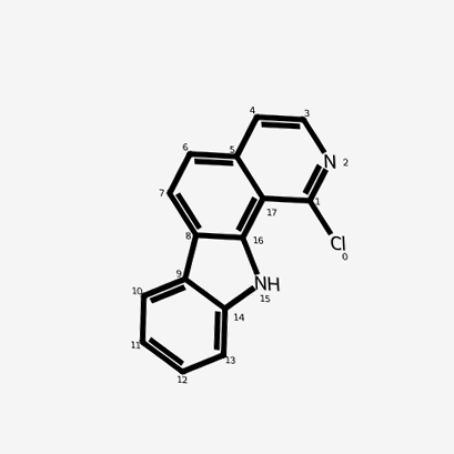 Clc1nccc2ccc3c4ccccc4[nH]c3c12